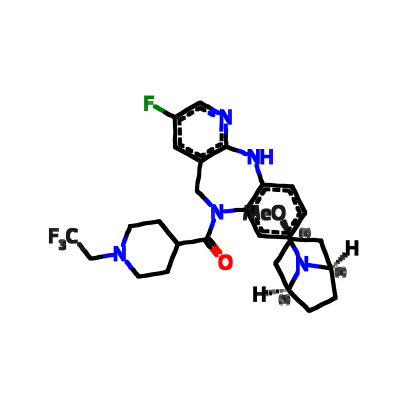 CO[C@H]1C[C@H]2CC[C@@H](C1)N2c1ccc2c(c1)N(C(=O)C1CCN(CC(F)(F)F)CC1)Cc1cc(F)cnc1N2